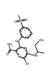 CCc1nc(C(N)=O)c(Nc2cccc(S(C)(=O)=O)c2)nc1NC(C)CO